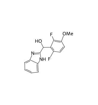 COc1ccc(F)c(C(O)c2nc3ccccc3[nH]2)c1F